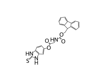 O=C(CNC(=O)OCC1c2ccccc2-c2ccccc21)Oc1ccc2[nH]c(=S)[nH]c2c1